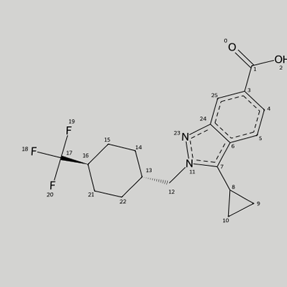 O=C(O)c1ccc2c(C3CC3)n(C[C@H]3CC[C@H](C(F)(F)F)CC3)nc2c1